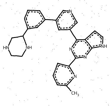 Cc1cccc(-c2nc(-c3cncc(-c4cccc(C5CNCCN5)c4)c3)c3cc[nH]c3n2)n1